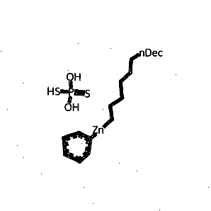 CCCCCCCCCCCCCCC[CH2][Zn][c]1ccccc1.OP(O)(=S)S